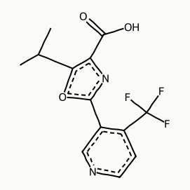 CC(C)c1oc(-c2cnccc2C(F)(F)F)nc1C(=O)O